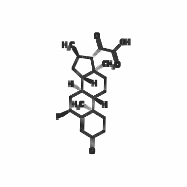 C[C@@H]1C[C@H]2[C@@H]3C[C@H](F)C4=CC(=O)CC[C@]4(C)[C@H]3CC[C@]2(C)[C@H]1C(=O)C(=O)O